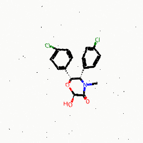 CN1C(=O)[C@@H](O)O[C@H](c2ccc(Cl)cc2)[C@@H]1c1ccc(Cl)cc1